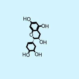 Oc1cc(O)c2c(c1)O[C@@H](C1=CCC(O)C(O)C1)[C@@H](O)C2